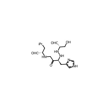 CC(C)C[C@@H](C=O)NCC(=O)[C@H](Cc1c[nH]cn1)NN[C@H](C=O)CO